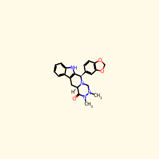 CN1CN2[C@H](c3ccc4c(c3)OCO4)c3[nH]c4ccccc4c3C[C@@H]2C(=O)N1C